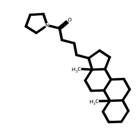 CC12CCCCC1CCC1C2CCC2(C)C(CCCC(=O)N3CCCC3)CCC12